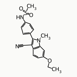 CCOc1ccc2c(C#N)c(-c3ccc(NS(C)(=O)=O)cc3)n(C)c2c1